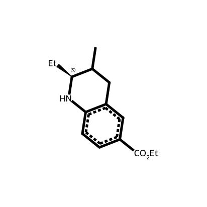 CCOC(=O)c1ccc2c(c1)CC(C)[C@H](CC)N2